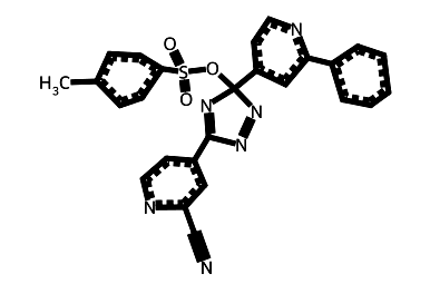 Cc1ccc(S(=O)(=O)OC2(c3ccnc(-c4ccccc4)c3)N=NC(c3ccnc(C#N)c3)=N2)cc1